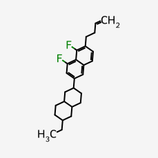 C=CCCc1ccc2cc(C3CCC4CC(CC)CCC4C3)cc(F)c2c1F